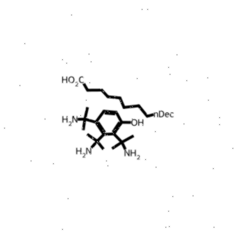 CC(C)(N)c1ccc(O)c(C(C)(C)N)c1C(C)(C)N.CCCCCCCCCCCCCCCCCC(=O)O